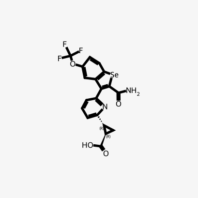 NC(=O)c1[se]c2ccc(OC(F)(F)F)cc2c1-c1cccc([C@@H]2C[C@H]2C(=O)O)n1